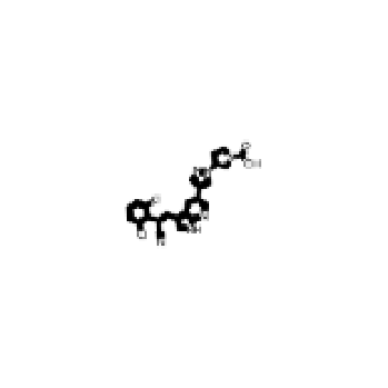 N#CC(=Cc1c[nH]c2ncc(-c3cnn(C4CCN(C(=O)O)C4)c3)cc12)c1c(Cl)cccc1Cl